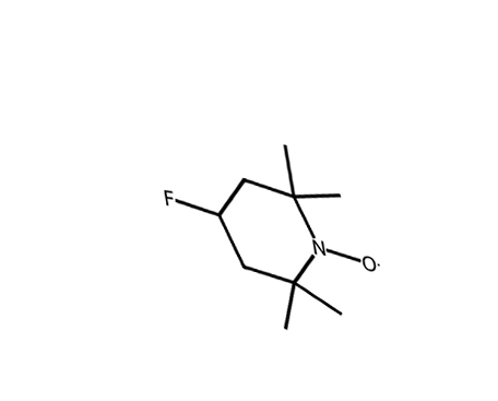 CC1(C)CC(F)CC(C)(C)N1[O]